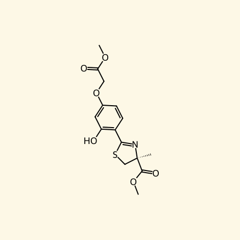 COC(=O)COc1ccc(C2=N[C@@](C)(C(=O)OC)CS2)c(O)c1